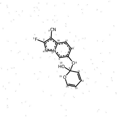 N#Cc1c(F)nn2cc(OC3(O)C=CC=CO3)ccc12